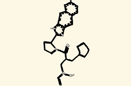 O=CN(O)CC(CC1CCCC1)C(=O)N1CCCC1c1nc2cc3ccccc3cc2[nH]1